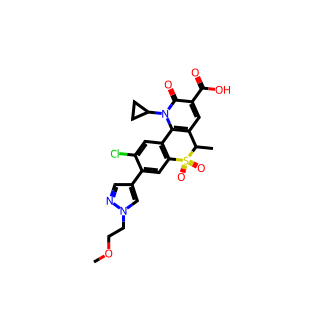 COCCn1cc(-c2cc3c(cc2Cl)-c2c(cc(C(=O)O)c(=O)n2C2CC2)C(C)S3(=O)=O)cn1